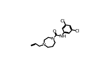 C=CCN1CCCN(C(=O)Nc2cc(Cl)cc(Cl)c2)CC1